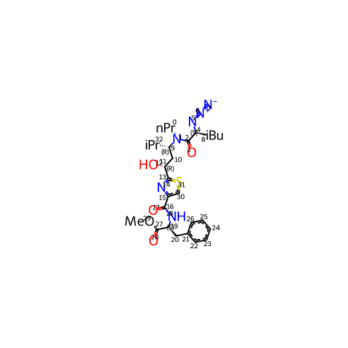 CCCN(C(=O)[C@@H](N=[N+]=[N-])C(C)CC)[C@H](C[C@@H](O)c1nc(C(=O)N[C@@H](Cc2ccccc2)C(=O)OC)cs1)C(C)C